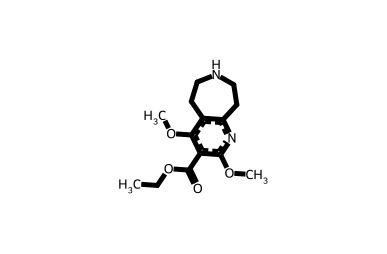 CCOC(=O)c1c(OC)nc2c(c1OC)CCNCC2